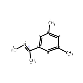 C/C(=N\O)c1cc(C)cc(C)c1